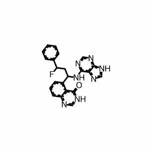 O=c1[nH]cnc2cccc(C(CC(F)c3ccccc3)Nc3ncnc4[nH]cnc34)c12